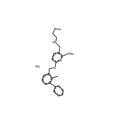 COc1nc(OCc2cccc(-c3ccccc3)c2C)ccc1CNCCNC(C)=O.Cl